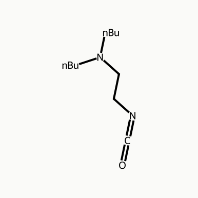 CCCCN(CCCC)CCN=C=O